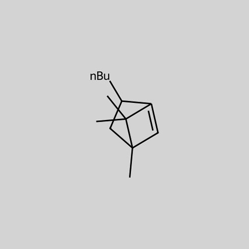 CCCCC1CC2(C)C=C1C2(C)C